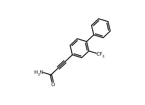 NC(=O)C#Cc1ccc(-c2ccccc2)c(C(F)(F)F)c1